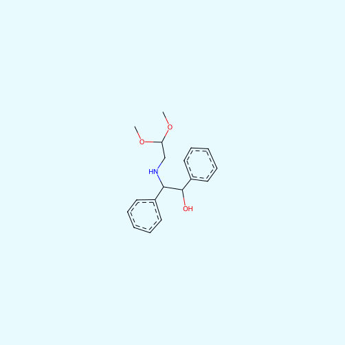 COC(CNC(c1ccccc1)C(O)c1ccccc1)OC